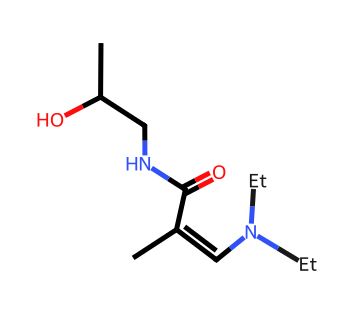 CCN(C=C(C)C(=O)NCC(C)O)CC